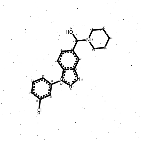 OC(c1ccc2c(c1)nnn2-c1cccc(Cl)c1)N1CCCCC1